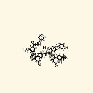 Cc1nc(C(=O)NCCN2CCOCC2)ccc1Nc1ncc2c(n1)-c1ccc(C(F)(F)F)cc1NC(=O)C2.Cc1nc(NC2CCNCC2)ccc1Nc1ncc2c(n1)-c1ccc(C(F)(F)F)cc1NC(=O)C2